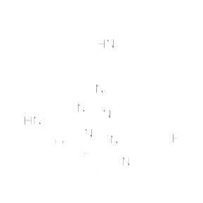 Cc1ccc(NC2CCN(c3nc(C4CNCCO4)nc(-n4c(C(F)F)nc5cc(F)ccc54)n3)CC2)cc1